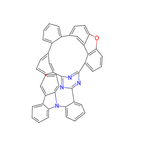 c1ccc(-n2c3ccccc3c3ccccc32)c(-c2nc3nc(n2)c2cccc4oc5ccc(cc5c42)c2ccccc2c2cccc3c2)c1